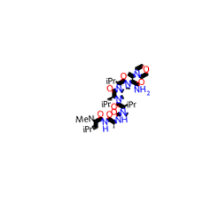 CN[C@@H](CC(C)C)C(=O)NC(=O)[C@@H](C)NC(=O)N(C)[C@@H](C(=O)N(C)[C@@H](CC(C)C)C(=O)N(C)[C@H](C(=O)N(C)[C@@H](C(N)=O)C(C)N1CCOCC1)C(C)C)C(C)C